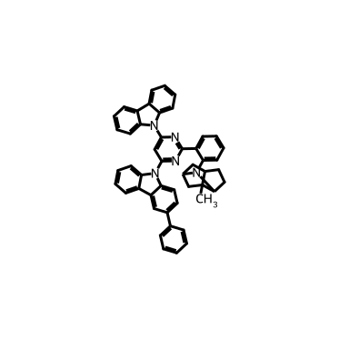 CC12CC3CC1CCC2N3c1ccccc1-c1nc(-n2c3ccccc3c3ccccc32)cc(-n2c3ccccc3c3cc(-c4ccccc4)ccc32)n1